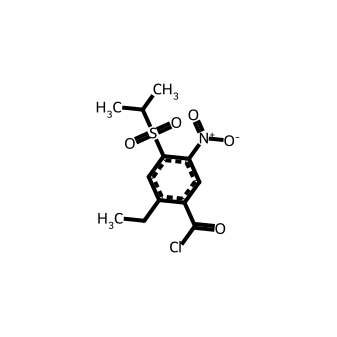 CCc1cc(S(=O)(=O)C(C)C)c([N+](=O)[O-])cc1C(=O)Cl